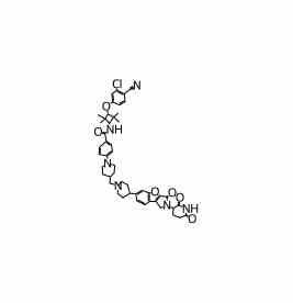 CC1(C)[C@H](NC(=O)c2ccc(N3CCC(CN4CCC(c5ccc6c7c(oc6c5)C(=O)N(C5CCC(=O)NC5=O)C7)CC4)CC3)cc2)C(C)(C)[C@H]1Oc1ccc(C#N)c(Cl)c1